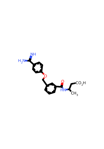 CC(CC(=O)O)NC(=O)c1cccc(COc2ccc(C(=N)N)cc2)c1